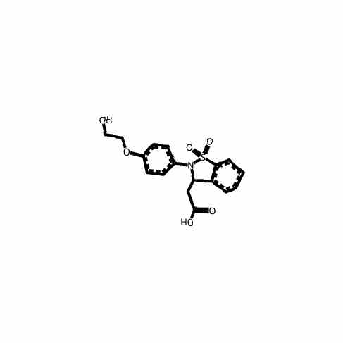 O=C(O)CC1c2ccccc2S(=O)(=O)N1c1ccc(OCCO)cc1